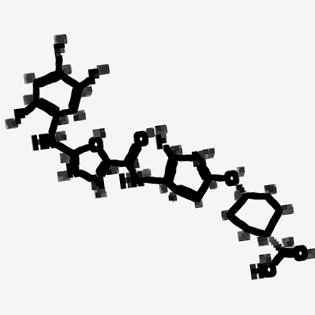 O=C(Nc1ccc(O[C@H]2CC[C@@H](C(=O)O)CC2)nc1F)c1nnc(Nc2cc(F)c(F)cc2F)o1